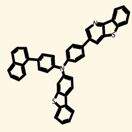 c1ccc2c(-c3ccc(N(c4ccc(-c5cnc6c(c5)sc5ccccc56)cc4)c4ccc5c(c4)sc4ccccc45)cc3)cccc2c1